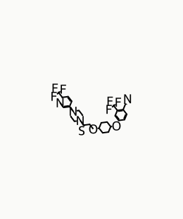 N#Cc1ccc(OC2CCC(OCC(=S)N3CCN(c4ccc(C(F)(F)F)nc4)CC3)CC2)cc1C(F)(F)F